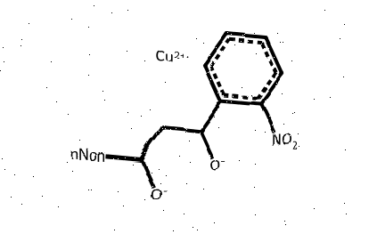 CCCCCCCCCC([O-])CC([O-])c1ccccc1[N+](=O)[O-].[Cu+2]